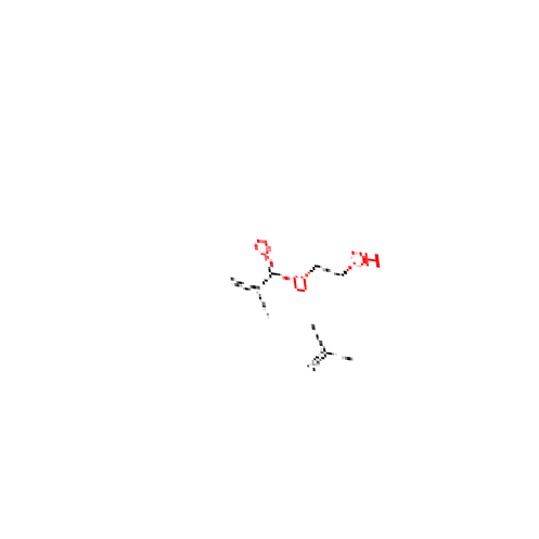 C=C(C)C.C=C(C)C(=O)OCCO